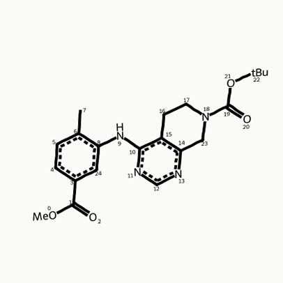 COC(=O)c1ccc(C)c(Nc2ncnc3c2CCN(C(=O)OC(C)(C)C)C3)c1